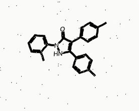 Cc1ccc(-c2[nH]n(-c3ccccc3C)c(=O)c2-c2ccc(C)cc2)cc1